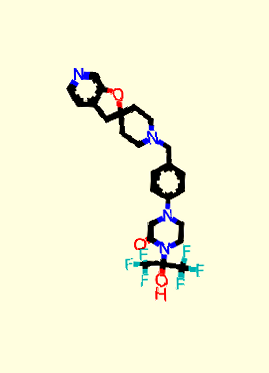 O=C1CN(c2ccc(CN3CCC4(CC3)Cc3ccncc3O4)cc2)CCN1C(O)(C(F)(F)F)C(F)(F)F